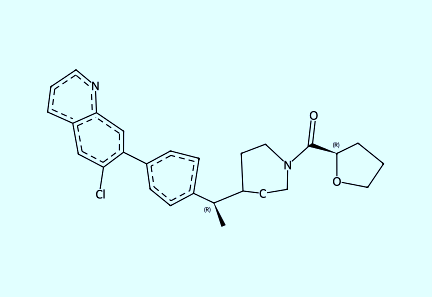 C[C@@H](c1ccc(-c2cc3ncccc3cc2Cl)cc1)C1CCN(C(=O)[C@H]2CCCO2)CC1